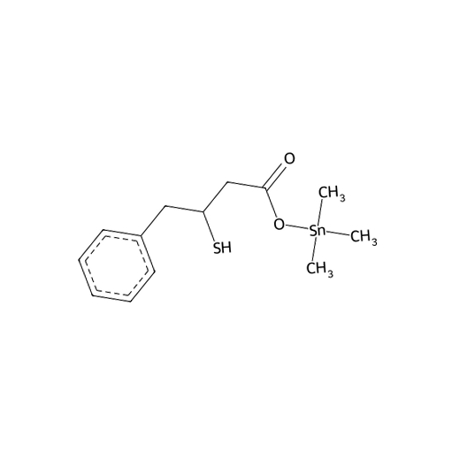 [CH3][Sn]([CH3])([CH3])[O]C(=O)CC(S)Cc1ccccc1